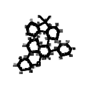 CC1(C)c2ccccc2-c2c(-c3c(-c4ccccc4)cc4c5c(cccc35)-c3ccccc3O4)cccc21